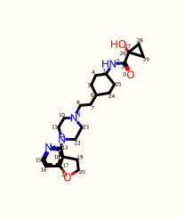 O=C(NC1CCC(CCN2CCN(c3nccc4c3CCO4)CC2)CC1)C1(O)CC1